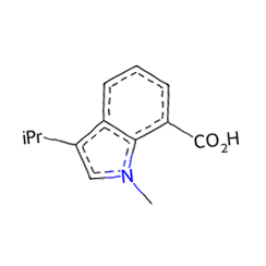 CC(C)c1cn(C)c2c(C(=O)O)cccc12